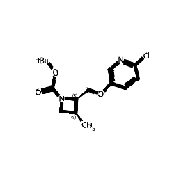 C[C@H]1CN(C(=O)OC(C)(C)C)[C@H]1COc1ccc(Cl)nc1